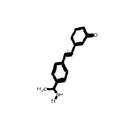 CCNC(C)c1ccc(/C=C/C2=CC(=O)CCC2)cc1